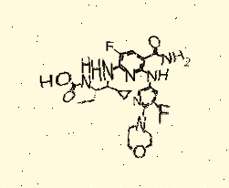 CC[C@H](NC(=O)O)[C@@H](Nc1nc(Nc2cnc(N3CCOCC3)c(F)c2)c(C(N)=O)cc1F)C1CC1